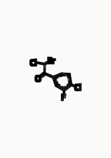 O=C(c1ccc(Cl)c(F)c1)C(Cl)Br